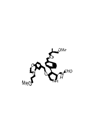 COCCCN1CCOc2ccc(CO[C@H]3CNC[C@@H](CNC=O)[C@@H]3c3ccc(COC[C@@H](C)COC)cc3)cc21